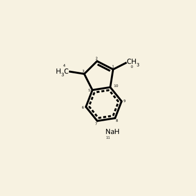 CC1=CC(C)c2ccccc21.[NaH]